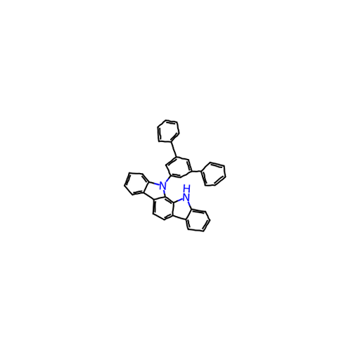 c1ccc(-c2cc(-c3ccccc3)cc(-n3c4ccccc4c4ccc5c6ccccc6[nH]c5c43)c2)cc1